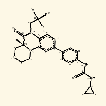 C[C@]12COCCN1c1nc(-c3ccc(NC(=O)NC4CC4)cc3)ncc1N(CC(F)(F)F)C2=O